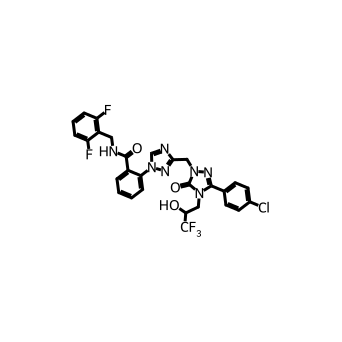 O=C(NCc1c(F)cccc1F)c1ccccc1-n1cnc(Cn2nc(-c3ccc(Cl)cc3)n(CC(O)C(F)(F)F)c2=O)n1